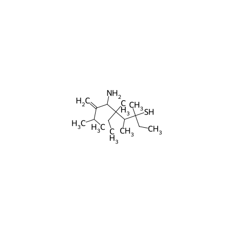 C=C(C(C)C)C(N)C(C)(CC)C(C)C(C)(S)CC